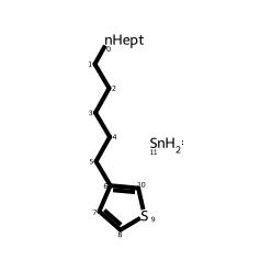 CCCCCCCCCCCCc1ccsc1.[SnH2]